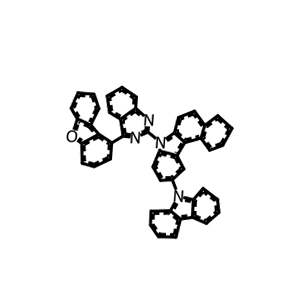 c1ccc2c(c1)ccc1c2c2cc(-n3c4ccccc4c4ccccc43)ccc2n1-c1nc(-c2cccc3oc4ccccc4c23)c2ccccc2n1